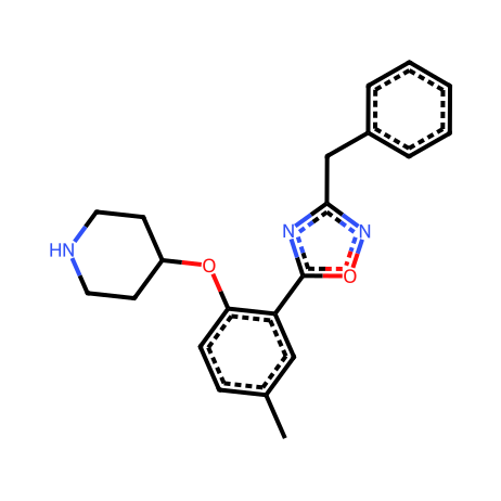 Cc1ccc(OC2CCNCC2)c(-c2nc(Cc3ccccc3)no2)c1